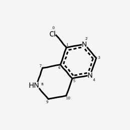 Clc1ncnc2c1CNCC2